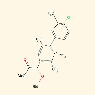 COC(=O)[C@@H](OC(C)(C)C)c1cc(C)c(-c2ccc(Cl)c(C)c2)c([N+](=O)[O-])c1C